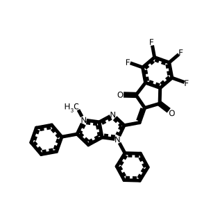 Cn1c(-c2ccccc2)cc2c1nc(C=C1C(=O)c3c(F)c(F)c(F)c(F)c3C1=O)n2-c1ccccc1